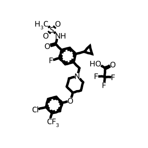 CS(=O)(=O)NC(=O)c1cc(C2CC2)c(CN2CCC(Oc3ccc(Cl)c(C(F)(F)F)c3)CC2)cc1F.O=C(O)C(F)(F)F